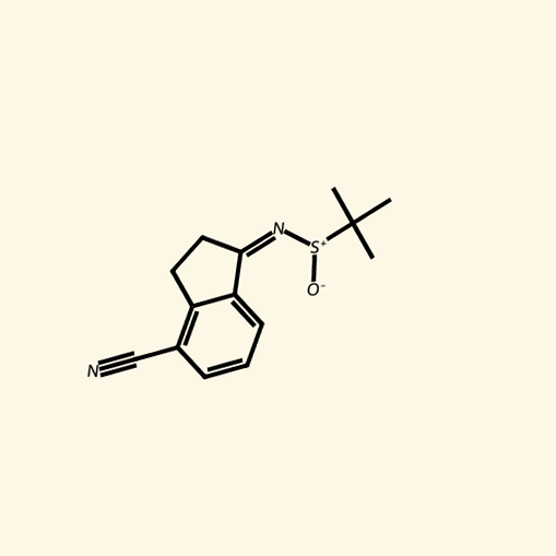 CC(C)(C)[S+]([O-])/N=C1/CCc2c(C#N)cccc21